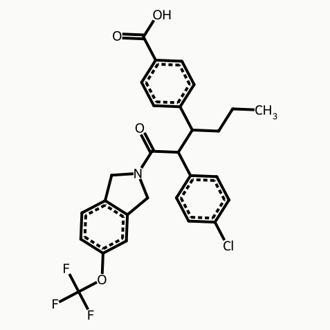 CCCC(c1ccc(C(=O)O)cc1)C(C(=O)N1Cc2ccc(OC(F)(F)F)cc2C1)c1ccc(Cl)cc1